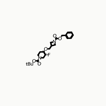 CC(C)(C)OC(=O)N1CC[C@@H](OCC2CN(C(=O)OCc3ccccc3)C2)[C@H](F)C1